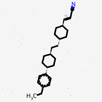 CCc1ccc([C@H]2CC[C@H](CC[C@H]3CC[C@H](/C=C/C#N)CC3)CC2)cc1